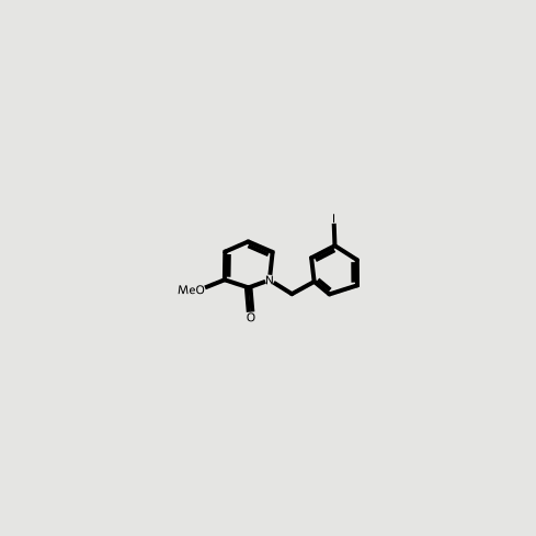 COc1cccn(Cc2cccc(I)c2)c1=O